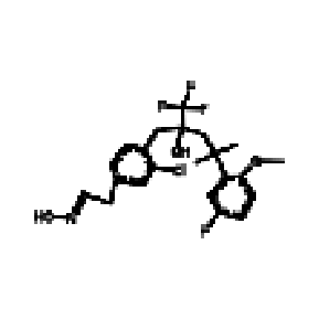 COc1ccc(F)cc1C(C)(C)CC(O)(Cc1ccc(CC=NO)cc1Cl)C(F)(F)F